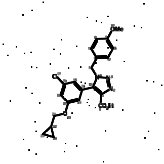 CCOC(=O)c1nnn(Cc2ccc(OC)cc2)c1-c1cc(Cl)cc(OCC2CC2)c1